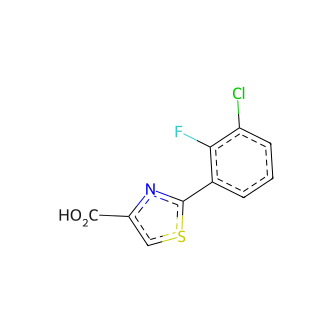 O=C(O)c1csc(-c2cccc(Cl)c2F)n1